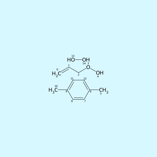 C=CCOO.Cc1ccc(C)cc1.OO